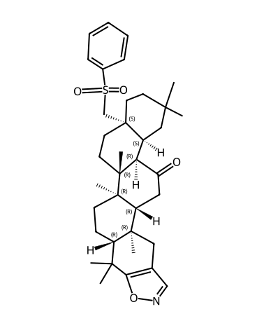 CC1(C)CC[C@]2(CS(=O)(=O)c3ccccc3)CC[C@]3(C)[C@H](C(=O)C[C@@H]4[C@@]5(C)Cc6cnoc6C(C)(C)[C@@H]5CC[C@]43C)[C@@H]2C1